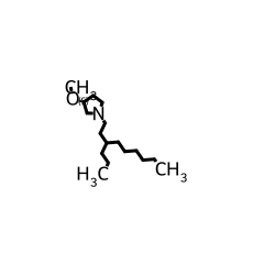 CCCCCCC(CCC)CCN1CC[C@H](OC)C1